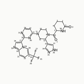 O=C1CCCC(C(=O)N2CCN(c3ccnc(-c4cnc5ccc(C(F)(F)F)cn45)n3)CC2c2cn[nH]c2)N1